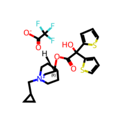 O=C(O[C@H]1C[N+]2(CC3CC3)CCC1CC2)C(O)(c1cccs1)c1cccs1.O=C([O-])C(F)(F)F